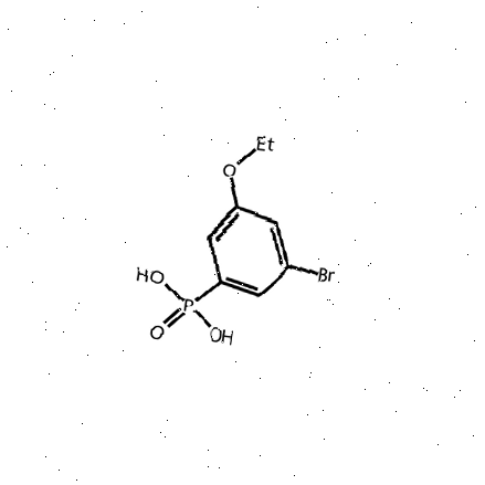 CCOc1cc(Br)cc(P(=O)(O)O)c1